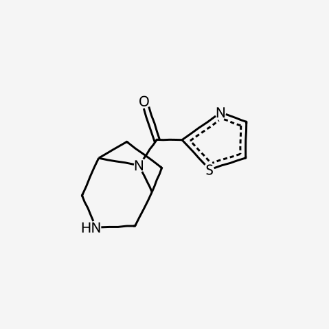 O=C(c1nccs1)N1C2CCC1CNC2